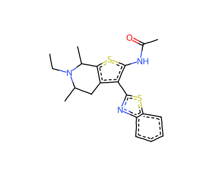 CCN1C(C)Cc2c(sc(NC(C)=O)c2-c2nc3ccccc3s2)C1C